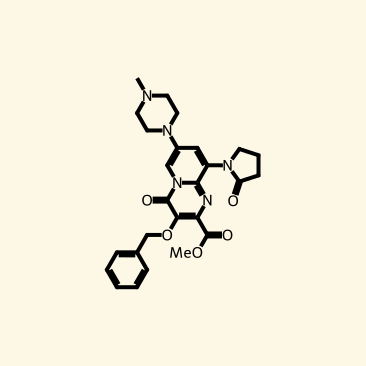 COC(=O)c1nc2c(N3CCCC3=O)cc(N3CCN(C)CC3)cn2c(=O)c1OCc1ccccc1